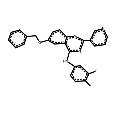 Fc1ccc(Nc2nc(-c3cccnc3)nc3ccc(OCc4ccccc4)cc23)cc1F